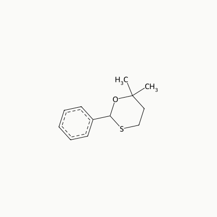 CC1(C)CCSC(c2ccccc2)O1